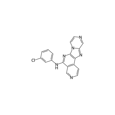 Clc1cccc(Nc2nc3c(nc4cnccn43)c3ccncc23)c1